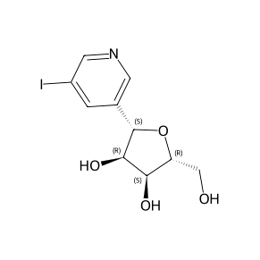 OC[C@H]1O[C@@H](c2cncc(I)c2)[C@H](O)[C@@H]1O